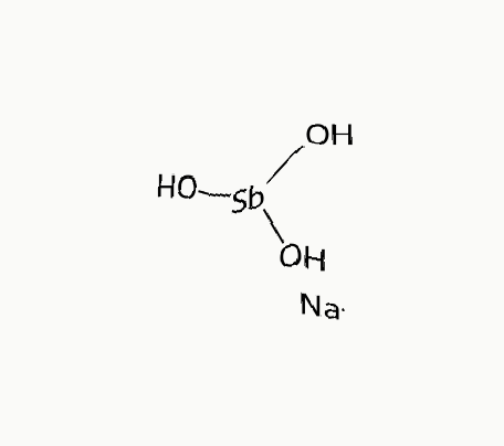 [Na].[OH][Sb]([OH])[OH]